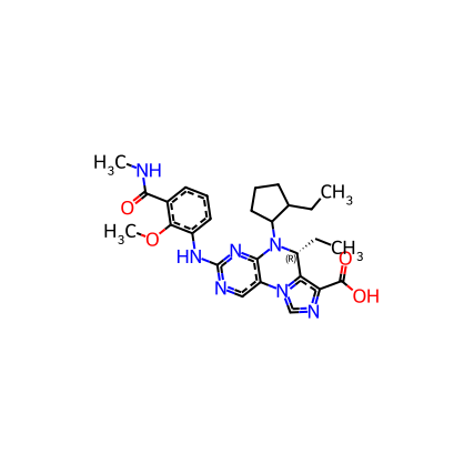 CCC1CCCC1N1c2nc(Nc3cccc(C(=O)NC)c3OC)ncc2-n2cnc(C(=O)O)c2[C@H]1CC